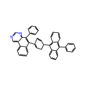 C1=CC(c2c3ccccc3c(-c3ccccc3)c3ccccc23)CC=C1c1c(-c2ccccc2)c2ncncc2c2ccccc12